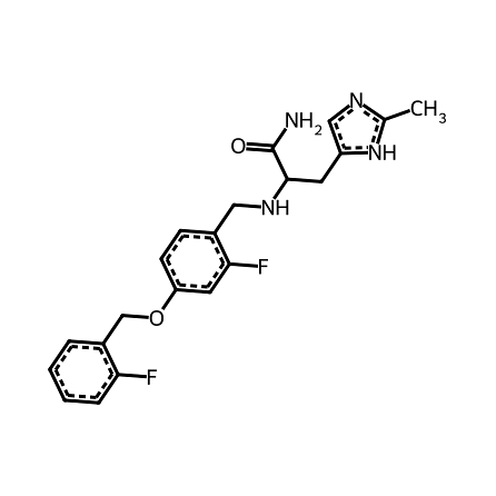 Cc1ncc(CC(NCc2ccc(OCc3ccccc3F)cc2F)C(N)=O)[nH]1